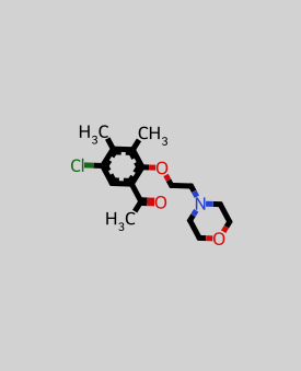 CC(=O)c1cc(Cl)c(C)c(C)c1OCCN1CCOCC1